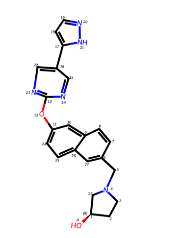 O[C@@H]1CCN(Cc2ccc3cc(Oc4ncc(-c5ccn[nH]5)cn4)ccc3c2)C1